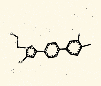 Cc1ccc(-c2ccc(-c3cc(N)n(CCO)n3)cc2)cc1C